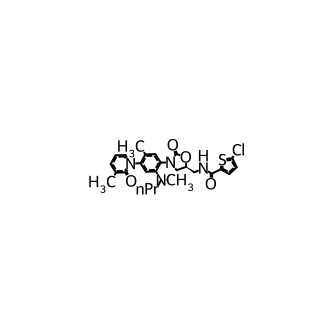 CCCN(C)c1cc(-n2cccc(C)c2=O)c(C)cc1N1C[C@H](CNC(=O)c2ccc(Cl)s2)OC1=O